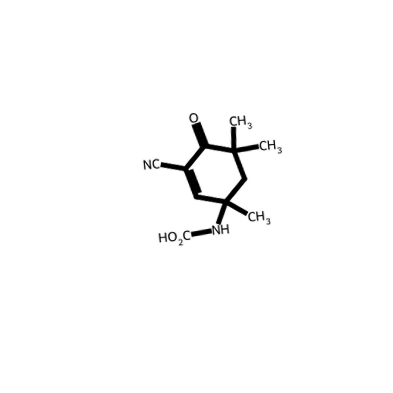 CC1(NC(=O)O)C=C(C#N)C(=O)C(C)(C)C1